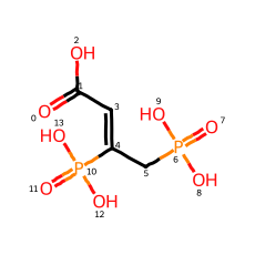 O=C(O)C=C(CP(=O)(O)O)P(=O)(O)O